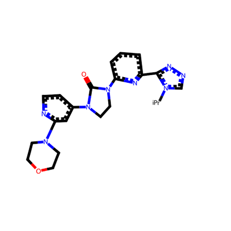 CC(C)n1cnnc1-c1cccc(N2CCN(c3ccnc(N4CCOCC4)c3)C2=O)n1